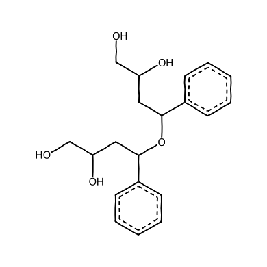 OCC(O)CC(OC(CC(O)CO)c1ccccc1)c1ccccc1